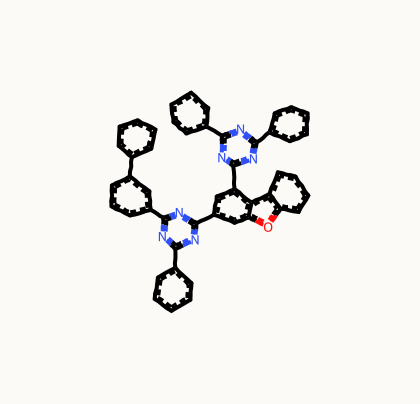 c1ccc(-c2cccc(-c3nc(-c4ccccc4)nc(-c4cc(-c5nc(-c6ccccc6)nc(-c6ccccc6)n5)c5c(c4)oc4ccccc45)n3)c2)cc1